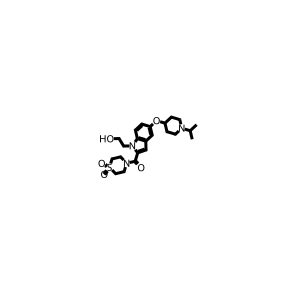 CC(C)N1CCC(Oc2ccc3c(c2)cc(C(=O)N2CCS(=O)(=O)CC2)n3CCO)CC1